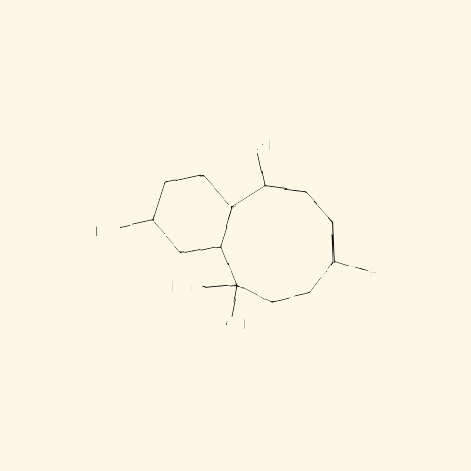 CC1CCC2C(C)CCC(Br)CCC(C)(C)C2C1